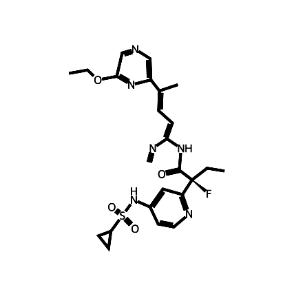 C=N/C(=C\C=C(/C)c1cncc(OCC)n1)NC(=O)[C@](F)(CC)c1cc(NS(=O)(=O)C2CC2)ccn1